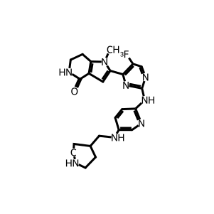 Cn1c(-c2nc(Nc3ccc(NCC4CCNCC4)cn3)ncc2F)cc2c1CCNC2=O